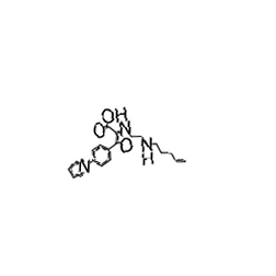 C=CCCCNCc1nc(C(=O)O)c(-c2ccc(-n3cccc3)cc2)o1